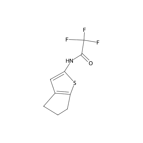 O=C(Nc1cc2c(s1)CCC2)C(F)(F)F